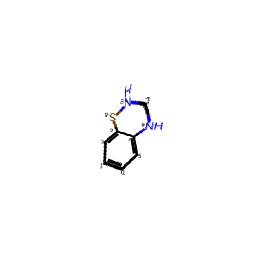 c1ccc2c(c1)NCNS2